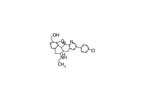 CCNC1Cc2ccc(CO)c3c2C2[C@H]1Cc1cc(-c4ccc(Cl)cc4)cnc1[C@@H]2O3